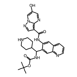 CC(C)(C)OC(=O)NC(c1cc2ncccc2cc1NC(=O)c1cnn2cc(O)cnc12)C1CCNCC1